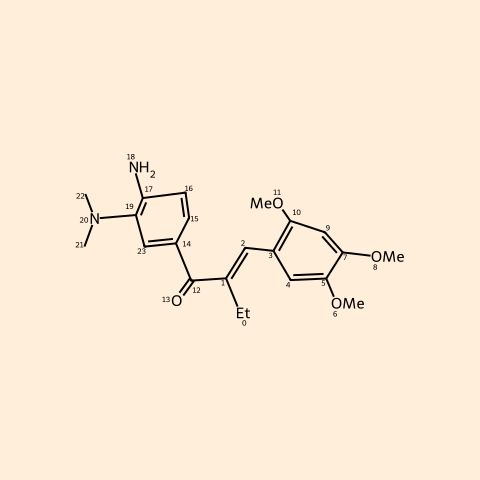 CC/C(=C\c1cc(OC)c(OC)cc1OC)C(=O)c1ccc(N)c(N(C)C)c1